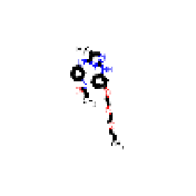 C=CC(=O)Nc1cccc(Nc2nc(Nc3cccc(OCCOCCOCCC)c3)ncc2C)c1